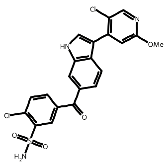 COc1cc(-c2c[nH]c3cc(C(=O)c4ccc(Cl)c(S(N)(=O)=O)c4)ccc23)c(Cl)cn1